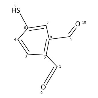 O=Cc1ccc(S)cc1C=O